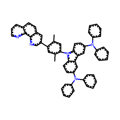 Cc1cc(-n2c3ccc(N(c4ccccc4)c4ccccc4)cc3c3cc(N(c4ccccc4)c4ccccc4)ccc32)c(C)cc1-c1cnc2c(ccc3cccnc32)c1